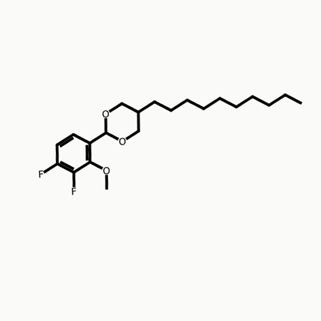 CCCCCCCCCCC1COC(c2ccc(F)c(F)c2OC)OC1